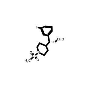 CS(=O)(=O)N1CCC([C@@H](CC=O)c2cccc(F)c2)CC1